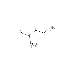 [CH2]CCCCCC(CC)C(=O)O